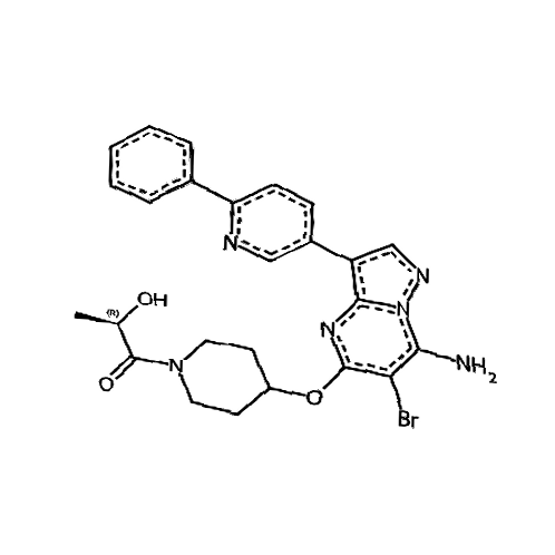 C[C@@H](O)C(=O)N1CCC(Oc2nc3c(-c4ccc(-c5ccccc5)nc4)cnn3c(N)c2Br)CC1